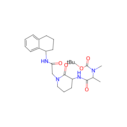 CC(C(=O)NC1CCCN(CC(=O)NC2CCCc3ccccc32)C1=O)N(C)C(=O)OC(C)(C)C